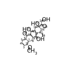 COc1cccc2c1Cc1c(O)c3c(c(O)c1C2=O)C[C@@](O)(C(=O)CO)CC3I